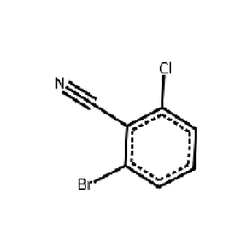 N#Cc1c(Cl)cccc1Br